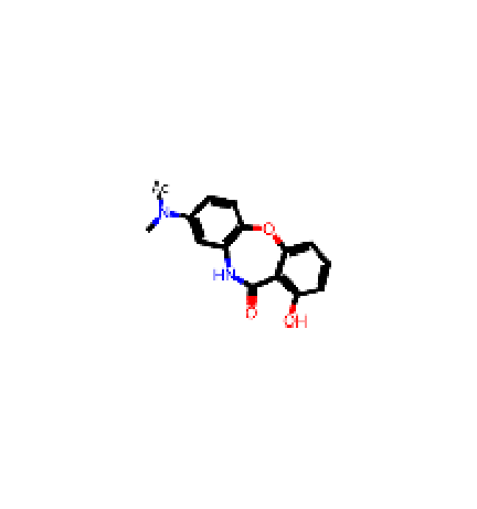 CC(=O)N(C)c1ccc2c(c1)NC(=O)c1c(O)cccc1O2